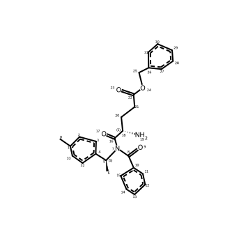 Cc1ccc([C@H](C)N(C(=O)c2ccccc2)C(=O)[C@@H](N)CCC(=O)OCc2ccccc2)cc1